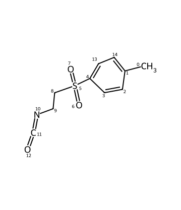 Cc1ccc(S(=O)(=O)CCN=C=O)cc1